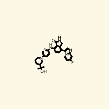 CC(C)(O)C1CCCN(c2ccc(Nc3ccc(-c4cnc5cc(F)ccn45)c4c3C(=O)NC4)nc2)C1